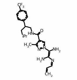 C=C/C=N\C(N)=C(/N)n1cc(C(=O)NCC(CC(C)C)c2ccc(C(F)(F)F)cc2)c(C)n1